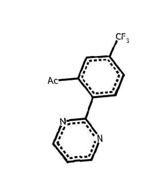 CC(=O)c1cc(C(F)(F)F)ccc1-c1ncccn1